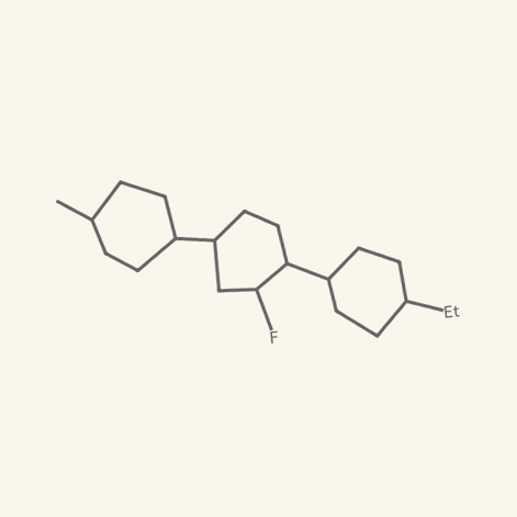 CCC1CCC(C2CCC(C3CCC(C)CC3)CC2F)CC1